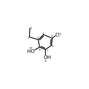 CCc1cc(Cl)cc(O)c1O